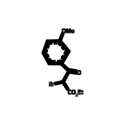 CCOC(=O)C(Br)C(=O)c1cccc(OC)c1